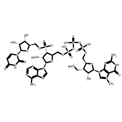 COC[C@H]1[C@@H](O)[C@H](n2c[n+](C)c3c(=O)[nH]c(N)nc32)O[C@@H]1COP(=O)(O)OP(O)(=S)OP(=O)(O)OCC1O[C@@H](n2cnc3c(N)ncnc32)[C@H](OC)[C@@H]1P(=O)([O-])OC[C@H]1O[C@@H](n2ccc(=O)[nH]c2=O)[C@H](O)[C@@H]1O